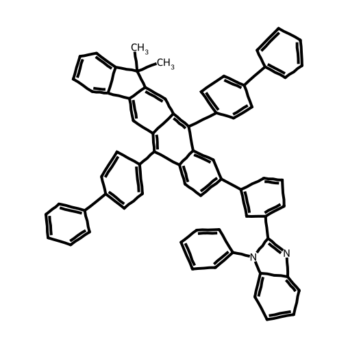 CC1(C)c2ccccc2-c2cc3c(-c4ccc(-c5ccccc5)cc4)c4ccc(-c5cccc(-c6nc7ccccc7n6-c6ccccc6)c5)cc4c(-c4ccc(-c5ccccc5)cc4)c3cc21